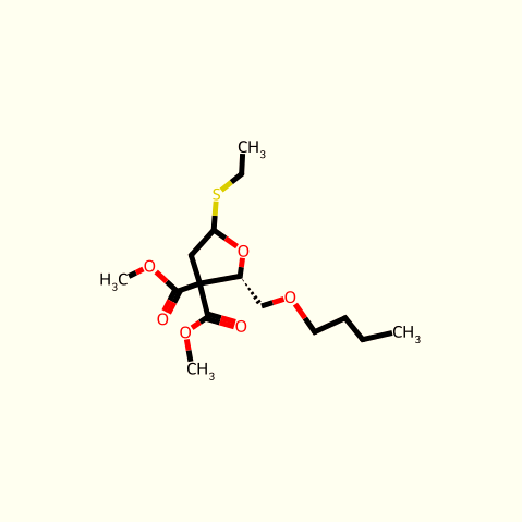 CCCCOC[C@H]1OC(SCC)CC1(C(=O)OC)C(=O)OC